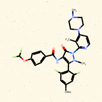 COc1cc(F)c(-c2c(NC(=O)c3ccc(OC(F)F)cc3)c(=O)n(-c3nccc(N4CCN(C)CC4)c3C(F)(F)F)n2C)c(F)c1